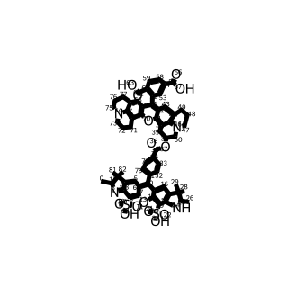 CC1N=c2c(cc3c(c2S(=O)(=O)O)Oc2c(cc4c(c2S(=O)(=O)O)NC(C)C4(C)C)C=3c2ccc(C(=O)OC3Cc4c5c(cc6c4=[N+](CCC6)C3)=C(c3cc(C(=O)O)ccc3C(=O)O)c3cc4c6c(c3O5)CCCN6CCC4)cc2)C1(C)C